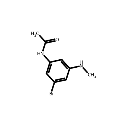 CNc1cc(Br)cc(NC(C)=O)c1